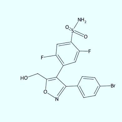 NS(=O)(=O)c1cc(F)c(-c2c(-c3ccc(Br)cc3)noc2CO)cc1F